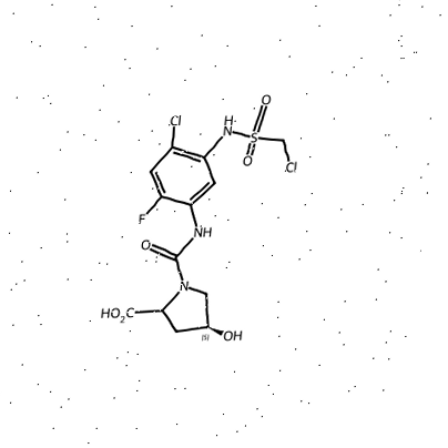 O=C(O)C1C[C@H](O)CN1C(=O)Nc1cc(NS(=O)(=O)CCl)c(Cl)cc1F